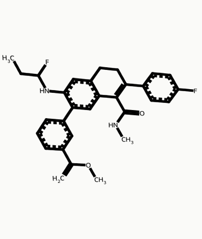 C=C(OC)c1cccc(-c2cc3c(cc2NC(F)CC)CCC(c2ccc(F)cc2)=C3C(=O)NC)c1